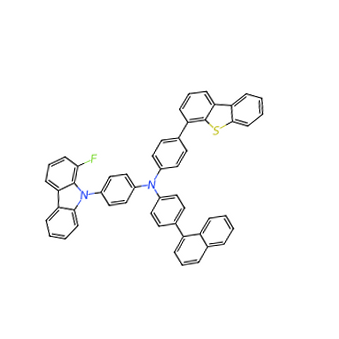 Fc1cccc2c3ccccc3n(-c3ccc(N(c4ccc(-c5cccc6ccccc56)cc4)c4ccc(-c5cccc6c5sc5ccccc56)cc4)cc3)c12